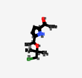 COC(=O)c1ccc(C(C#N)O[Si](C)(C)CCl)[nH]1